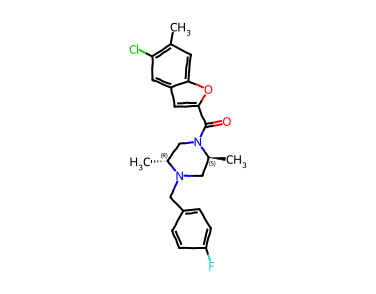 Cc1cc2oc(C(=O)N3C[C@@H](C)N(Cc4ccc(F)cc4)C[C@@H]3C)cc2cc1Cl